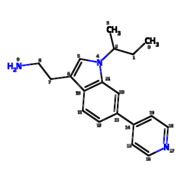 CCC(C)n1cc(CCN)c2ccc(-c3ccncc3)cc21